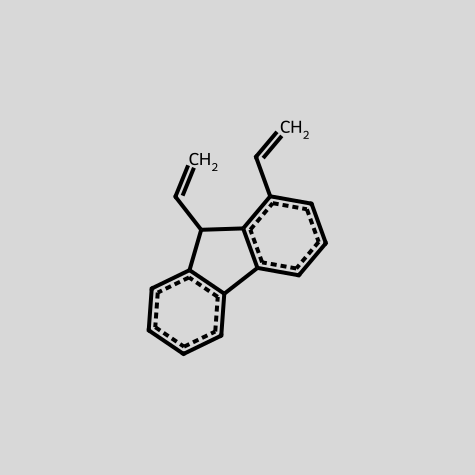 C=Cc1cccc2c1C(C=C)c1ccccc1-2